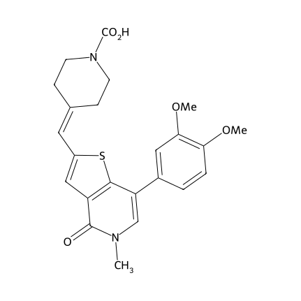 COc1ccc(-c2cn(C)c(=O)c3cc(C=C4CCN(C(=O)O)CC4)sc23)cc1OC